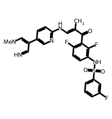 CN/C=C(\C=N)c1ccc(N/C=C(\C)C(=O)c2c(F)ccc(NS(=O)(=O)c3cccc(F)c3)c2F)nc1